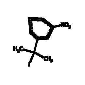 CC(C)(I)c1cccc([N+](=O)[O-])c1